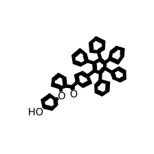 O=C(c1ccc(-c2c(-c3ccccc3)c(-c3ccccc3)c(-c3ccccc3)c(-c3ccccc3)c2-c2ccccc2)cc1)c1ccccc1Oc1ccc(O)cc1